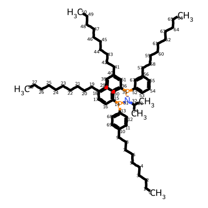 CCCCCCCCCCc1ccc(P(c2ccc(CCCCCCCCCC)cc2)N(C(C)C)P(c2cccc(CCCCCCCCCC)c2)c2cccc(CCCCCCCCCC)c2)cc1